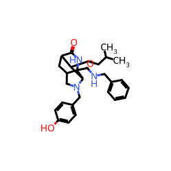 CC(C)CCC1C2CC3CN(Cc4ccc(O)cc4)C1C3(C(=O)NCc1ccccc1)NC2=O